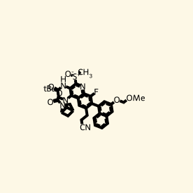 COCOc1cc(-c2c(CCC#N)cc3c4c(c([S+](C)[O-])nc3c2F)NC(=O)CN4C2C3CC2N(C(=O)OC(C)(C)C)C3)c2ccccc2c1